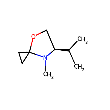 CC(C)[C@@H]1COC2(CC2)N1C